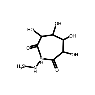 O=C1C(O)C(O)C(O)C(O)C(=O)[SiH]1N[SiH3]